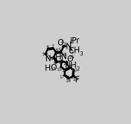 CC(C)N(C)C(=O)C1=c2cccnc2=C(O)C(Cc2ccc(F)cc2)(C(N)=O)N1